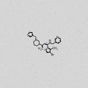 C=C(/C=C(/NCc1cccnc1)n1ncc(Br)c1C)C1CCCN(Cc2ccsc2)C1